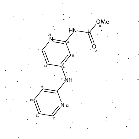 COC(=O)Nc1cc(Nc2ccccn2)ccn1